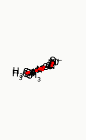 CC(C)(C)OC(=O)N1CCC(C2CCN(c3ccc(OC[C@H]4CCn5cc([N+](=O)[O-])nc5O4)cc3)CC2)CC1